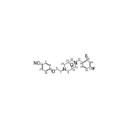 N#Cc1ccc(OCCN2CC3CN(Cc4ccc(F)cc4F)CC(C2)O3)cc1